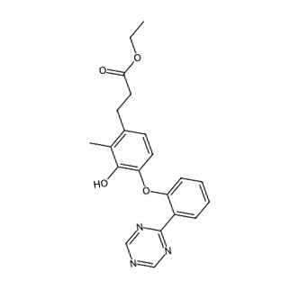 CCOC(=O)CCc1ccc(Oc2ccccc2-c2ncncn2)c(O)c1C